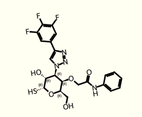 O=C(CO[C@@H]1[C@H](n2cc(-c3cc(F)c(F)c(F)c3)nn2)[C@@H](O)[C@@H](S)O[C@@H]1CO)Nc1ccccc1